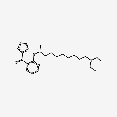 CCN(CC)CCCCCCSCC(C)Sc1ncccc1C(=O)c1cccs1